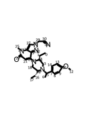 CC[C@H]1CN(C(C)c2ccc(OC)cc2)[C@H](CC)CN1c1cc(=O)n(C)c2cn(CC#N)nc12